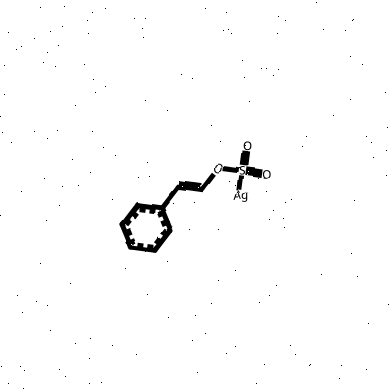 O=[S](=O)([Ag])OC=Cc1ccccc1